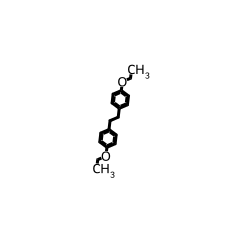 CCOc1ccc(CCc2ccc(OCC)cc2)cc1